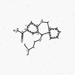 CN(C)CCOC1c2ccccc2COc2ccc(C(N)=O)cc21